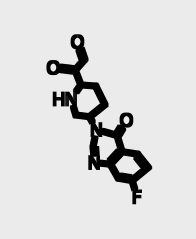 O=CC(=O)C1CCC(n2cnc3cc(F)ccc3c2=O)CN1